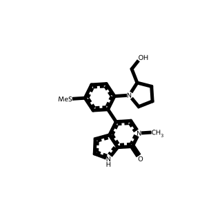 CSc1ccc(N2CCCC2CO)c(-c2cn(C)c(=O)c3[nH]ccc23)c1